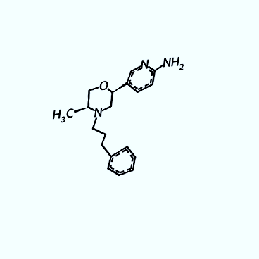 C[C@H]1CO[C@@H](c2ccc(N)nc2)CN1CCCc1ccccc1